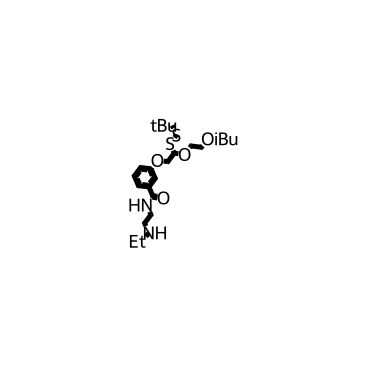 CCNCCNC(=O)c1cccc(OCC(OCCOCC(C)C)SSC(C)(C)C)c1